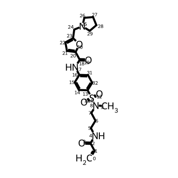 C=CC(=O)NCCCN(C)S(=O)(=O)c1ccc(NC(=O)c2ccc(CN3CCCC3)o2)cc1